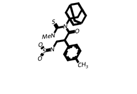 CNC(=S)N(C(=O)C(CN=S(=O)=O)c1ccc(C)cc1)C12CC3CC(CC(C3)C1)C2